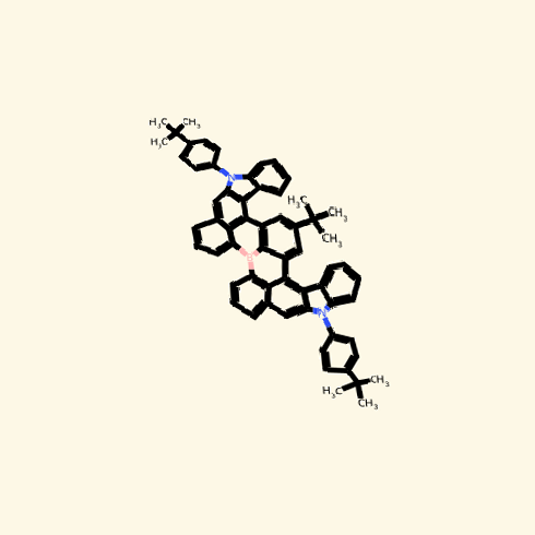 CC(C)(C)c1ccc(-n2c3ccccc3c3c4c5c(cccc5cc32)B2c3c-4cc(C(C)(C)C)cc3-c3c4c2cccc4cc2c3c3ccccc3n2-c2ccc(C(C)(C)C)cc2)cc1